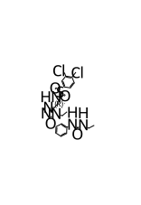 CCNC(=O)Nc1cccc(Oc2nnc([C@@H](C)NS(=O)(=O)c3ccc(Cl)c(Cl)c3)n2CC)c1